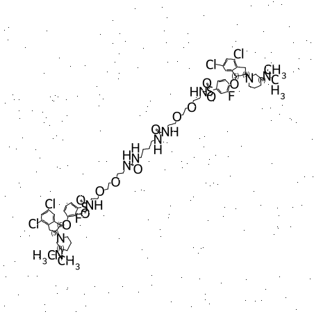 CN(C)[C@@H]1CCCN([C@H]2Cc3c(Cl)cc(Cl)cc3[C@@H]2Oc2ccc(S(=O)(=O)NCCOCCOCCNC(=O)NCCCCNC(=O)NCCOCCOCCNS(=O)(=O)c3cccc(O[C@H]4c5cc(Cl)cc(Cl)c5C[C@@H]4N4CCC[C@@H](N(C)C)C4)c3F)cc2F)C1